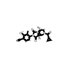 Cc1c(N2C(=O)[C@@H]3C4C[C@H](CN4C(=O)C4CC4)N3C2=O)ccc(C#N)c1Cl